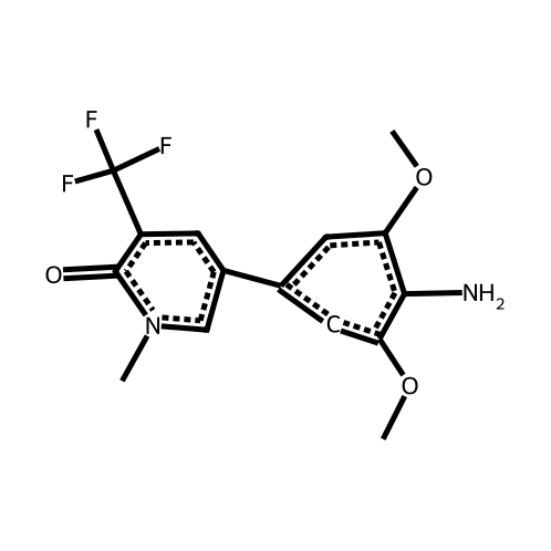 COc1cc(-c2cc(C(F)(F)F)c(=O)n(C)c2)cc(OC)c1N